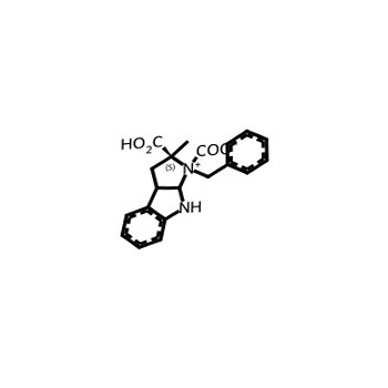 C[C@@]1(C(=O)O)CC2c3ccccc3NC2[N+]1(Cc1ccccc1)C(=O)[O-]